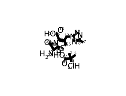 CC(C)(C)C(=O)O.Cc1nnn(CC2=C(C(=O)O)N3C(=O)[C@@H](N)[C@H]3SC2)n1.Cl